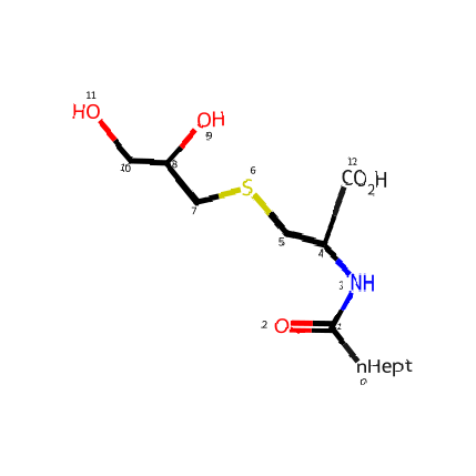 CCCCCCCC(=O)NC(CSCC(O)CO)C(=O)O